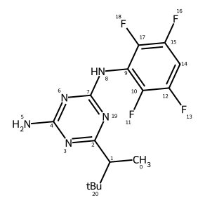 CC(c1nc(N)nc(Nc2c(F)c(F)cc(F)c2F)n1)C(C)(C)C